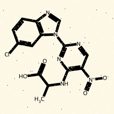 CC(Nc1nc(-n2cnc3ccc(Cl)cc32)ncc1[N+](=O)[O-])C(=O)O